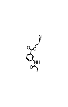 CCC(=O)Nc1cccc(C(=O)OCCC#N)c1